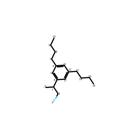 [CH2]C(CF)c1cc(CCCC)cc(CCCC)c1